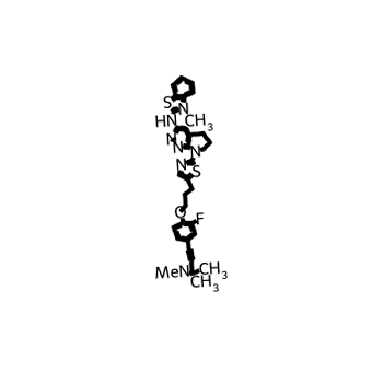 CNC(C)(C)C#Cc1ccc(OCCCc2cnc(N3CCCc4c3nnc(Nc3nc5ccccc5s3)c4C)s2)c(F)c1